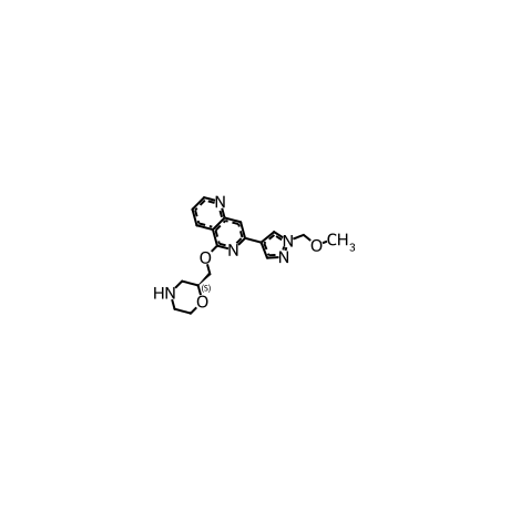 COCn1cc(-c2cc3ncccc3c(OC[C@@H]3CNCCO3)n2)cn1